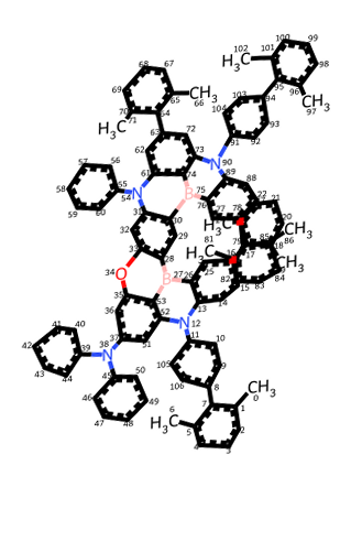 Cc1cccc(C)c1-c1ccc(N2c3ccc(-c4c(C)cccc4C)cc3B3c4cc5c(cc4Oc4cc(N(c6ccccc6)c6ccccc6)cc2c43)N(c2ccccc2)c2cc(-c3c(C)cccc3C)cc3c2B5c2cc(-c4c(C)cccc4C)ccc2N3c2ccc(-c3c(C)cccc3C)cc2)cc1